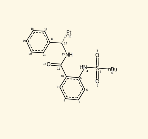 CCCCS(=O)(=O)Nc1ccccc1C(=O)N[C@@H](CC)c1ccccc1